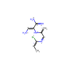 C=C(/C=N\C(Br)=C/C)N/C(=C\N)C(=N)N